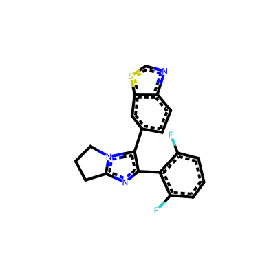 Fc1cccc(F)c1-c1nc2n(c1-c1ccc3ncsc3c1)CCC2